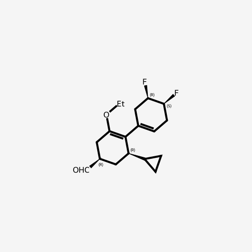 CCOC1=C(C2=CC[C@H](F)[C@H](F)C2)[C@@H](C2CC2)C[C@@H](C=O)C1